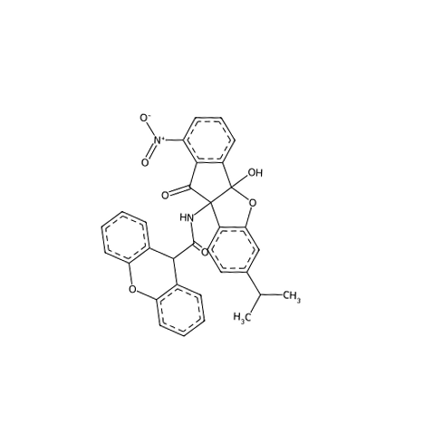 CC(C)c1ccc2c(c1)OC1(O)c3cccc([N+](=O)[O-])c3C(=O)C21NC(=O)C1c2ccccc2Oc2ccccc21